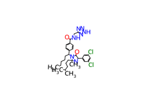 CCCCCC(c1ccc(C(=O)NCc2nn[nH]n2)cc1)N1C(=O)C(c2cc(Cl)cc(Cl)c2)=NC1(C)CCCC(C)C